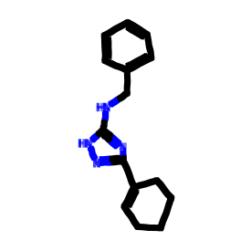 C1=C(c2n[nH]c(NCc3ccccc3)n2)CCCC1